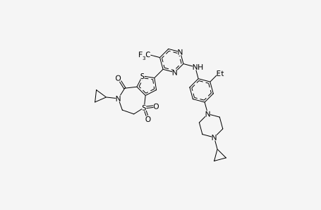 CCc1cc(N2CCN(C3CC3)CC2)ccc1Nc1ncc(C(F)(F)F)c(-c2cc3c(s2)C(=O)N(C2CC2)CCS3(=O)=O)n1